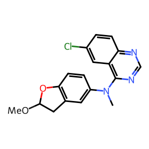 COC1Cc2cc(N(C)c3ncnc4ccc(Cl)cc34)ccc2O1